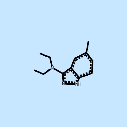 CCN(CC)c1n[nH]c2ccc(C)cc12